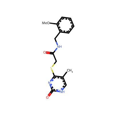 COc1ccccc1CNC(=O)CSc1nc(=O)[nH]cc1C